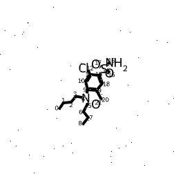 CCCCN(CCCC)c1cc(Cl)c(S(N)(=O)=O)cc1C=O